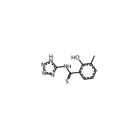 Cc1cccc(C(=S)Nc2nnn[nH]2)c1O